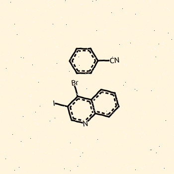 Brc1c(I)cnc2ccccc12.N#Cc1ccccc1